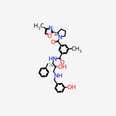 Cc1cc(C(=O)N[C@@H](Cc2ccccc2)[C@H](O)CNCc2cccc(O)c2)cc(C(=O)N2CCC[C@@H]2c2nc(C)co2)c1